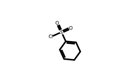 O=S(=O)(Cl)C1=CCCC=C1